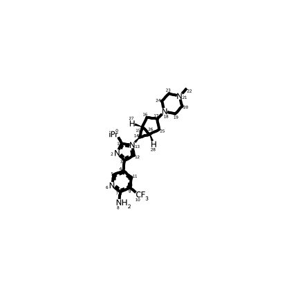 CC(C)c1nc(-c2cnc(N)c(C(F)(F)F)c2)cn1[C@H]1[C@@H]2CC(N3CCN(C)CC3)C[C@@H]21